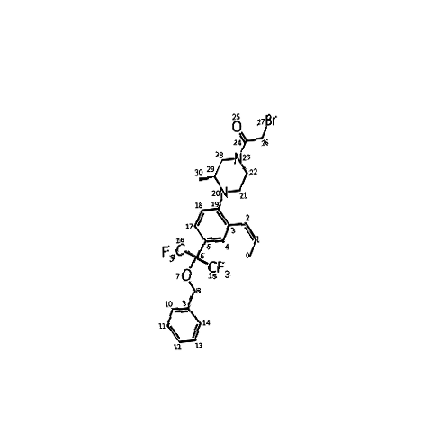 C/C=C\c1cc(C(OCc2ccccc2)(C(F)(F)F)C(F)(F)F)ccc1N1CCN(C(=O)CBr)C[C@@H]1C